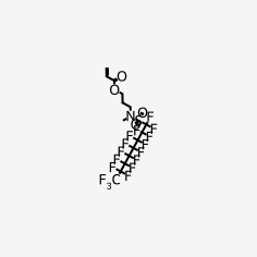 C=CC(=O)OCCCN(C)S(=O)(=O)C(F)(F)C(F)(F)C(F)(F)C(F)(F)C(F)(F)C(F)(F)C(F)(F)C(F)(F)F